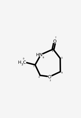 CC1COCCC(=O)N1